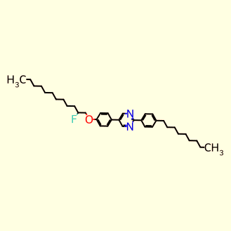 CCCCCCCCCCC(F)COc1ccc(-c2cnc(-c3ccc(CCCCCCCCC)cc3)nc2)cc1